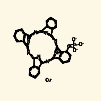 [Cu].[O-][Cl+3]([O-])([O-])Oc1cccc2c3nc4nc(nc5[nH]c(nc6nc(nc([nH]3)c12)-c1ccccc1-6)c1ccccc51)-c1ccccc1-4